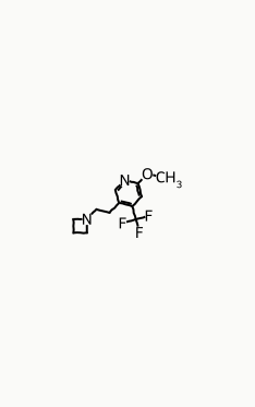 COc1cc(C(F)(F)F)c(CCN2CCC2)cn1